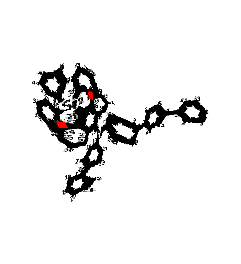 c1ccc(-c2ccc(-c3ccc(N(c4ccc(-c5ccccc5)cc4)c4c5c(c([Si](c6ccccc6)(c6ccccc6)c6ccccc6)c6c4CCCC6)CCCC5)cc3)cc2)cc1